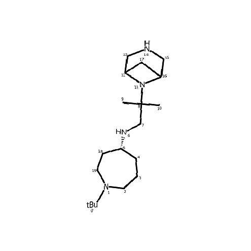 CC(C)(C)N1CCC[C@@H](NCC(C)(C)N2C3CNCC2C3)CC1